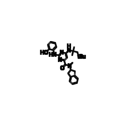 CN(C(=O)c1cc(NC(C)(C)CC(C)(C)C)nc(Nc2ccccc2O)n1)C1Cc2ccccc2C1